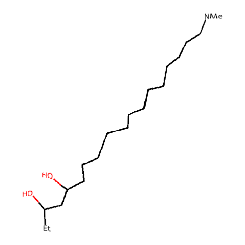 CCC(O)CC(O)CCCCCCCCCCCCCNC